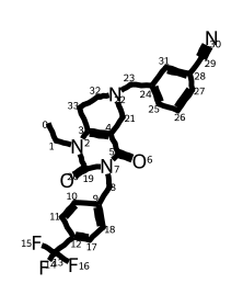 CCn1c2c(c(=O)n(Cc3ccc(C(F)(F)F)cc3)c1=O)CN(Cc1cccc(C#N)c1)CC2